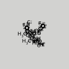 [C-]#[N+]c1cc(N[C@H](C(=O)N2C[C@H](OC(=O)N3Cc4cccc(F)c4C3)C[C@H]2C(=O)N[C@]2(C(=O)NS(=O)(=O)C3CC3)C[C@H]2CC)C(C)(C)C)ccc1F